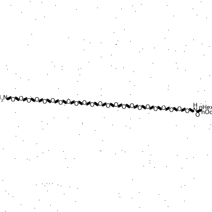 CCCCCCCCC(CCCCCC)C(=O)NCCOCCOCCOCCOCCOCCOCCOCCOCCOCCOCCOCCOCCOCCOCCOCCOCCOCCOCCOCCOCCOCCOCCOCCN